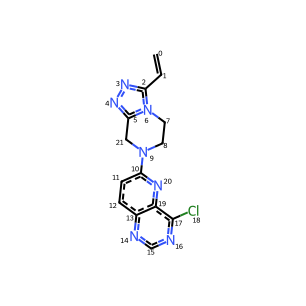 C=Cc1nnc2n1CCN(c1ccc3ncnc(Cl)c3n1)C2